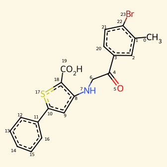 Cc1cc(C(=O)CNc2cc(-c3ccccc3)sc2C(=O)O)ccc1Br